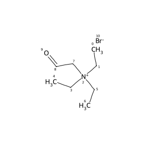 CC[N+](CC)(CC)CC=O.[Br-]